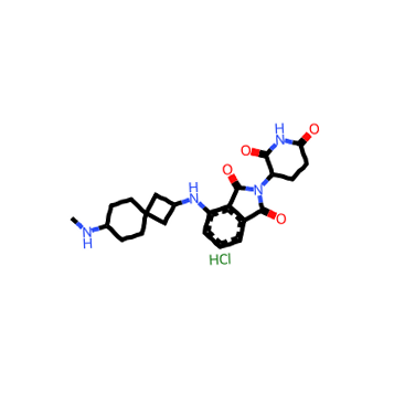 CNC1CCC2(CC1)CC(Nc1cccc3c1C(=O)N(C1CCC(=O)NC1=O)C3=O)C2.Cl